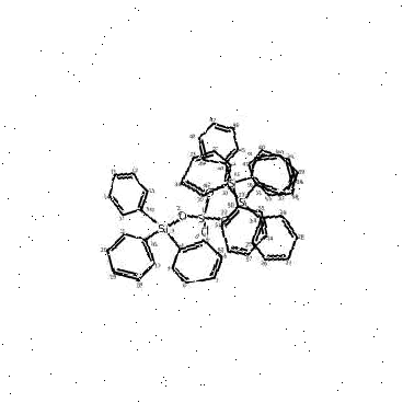 Cl[Si](O[Si](c1ccccc1)(c1ccccc1)c1ccccc1)(O[Si](c1ccccc1)(c1ccccc1)c1ccccc1)O[Si](c1ccccc1)(c1ccccc1)c1ccccc1